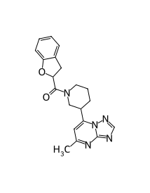 Cc1cc(C2CCCN(C(=O)C3Cc4ccccc4O3)C2)n2ncnc2n1